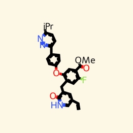 C=Cc1c[nH]c(=O)c(Cc2cc(F)c(C(=O)OC)cc2Oc2ccc(-c3ccc(C(C)C)nn3)cc2)c1